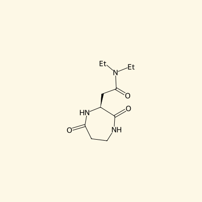 CCN(CC)C(=O)C[C@@H]1NC(=O)CCNC1=O